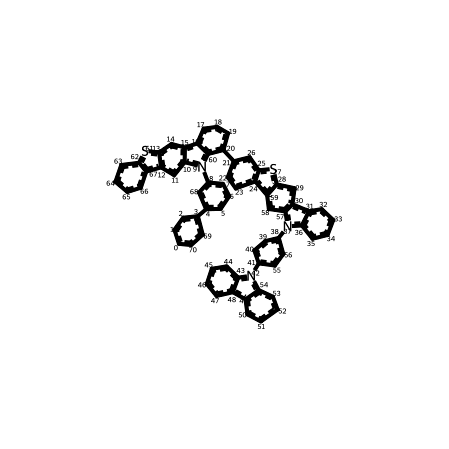 c1ccc(-c2cccc(-n3c4cc5c(cc4c4cccc(-c6ccc7c(c6)sc6cc8c9ccccc9n(-c9ccc(-n%10c%11ccccc%11c%11ccccc%11%10)cc9)c8cc67)c43)sc3ccccc35)c2)cc1